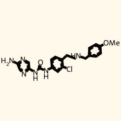 COc1ccc(CNCCc2ccc(NC(=O)Nc3cnc(N)cn3)cc2Cl)cc1